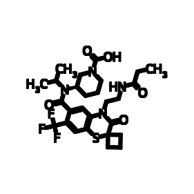 CCC(=O)NCCN1C(=O)C2(CCC2)Sc2cc(C(F)(F)F)c(C(=O)N(C(C)C)[C@@H]3CCCN(C(=O)O)C3)cc21